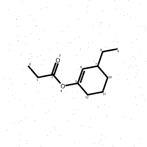 CCC(=O)OC1=CC(CC)CCC1